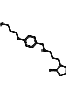 CCCCOc1ccc(SNCCCN2CCCC2=O)cc1